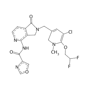 CN1CC(CN2Cc3c(ccnc3NC(=O)c3cocn3)C2=O)=CC(Cl)=C1OCC(F)F